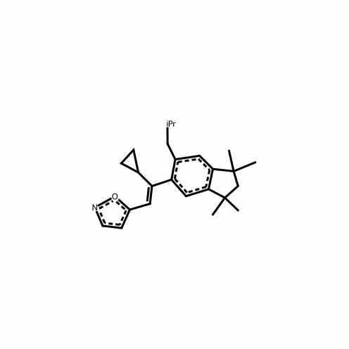 CC(C)Cc1cc2c(cc1C(=Cc1ccno1)C1CC1)C(C)(C)CC2(C)C